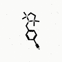 C[Si]1(C)CC[Si](C)(C)N1Cc1ccc(C#N)cc1